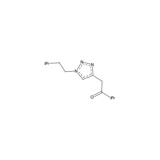 CC(C)CCn1cc(CC(=O)C(C)C)nn1